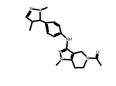 CC(=O)N1CCc2c(c(Nc3ccc(C4C(C)C=NN4C)cc3)nn2C)C1